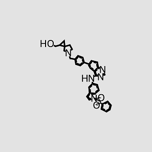 O=S(=O)(c1ccccc1)n1ccc2cc(Nc3ncnc4ccc(-c5ccc(CN6CCC7(CC7CO)C6)cc5)cc34)ccc21